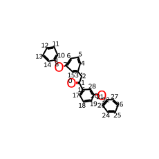 O=C([CH]c1cccc(Oc2ccccc2)c1)c1cccc(Oc2ccccc2)c1